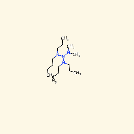 CCCCN(CCC)N(N(C)C)N(CCC)CCC